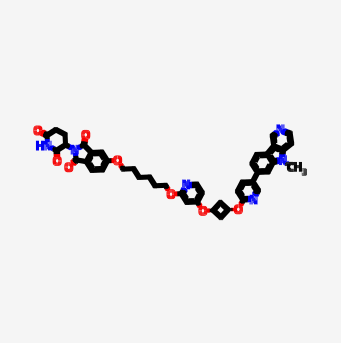 Cn1c2ccncc2c2ccc(-c3ccc(O[C@H]4C[C@H](Oc5ccnc(OCCCCCCOc6ccc7c(c6)C(=O)N(C6CCC(=O)NC6=O)C7=O)c5)C4)nc3)cc21